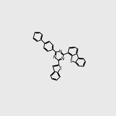 c1ccc(-c2ccc(-c3nc(-c4cc5ccccc5s4)nc(-c4cccc5c4sc4ccccc45)n3)cc2)cc1